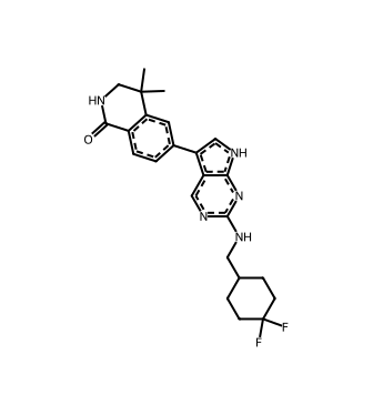 CC1(C)CNC(=O)c2ccc(-c3c[nH]c4nc(NCC5CCC(F)(F)CC5)ncc34)cc21